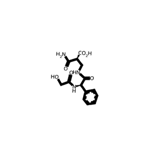 NC(=O)[C@H](CNC(=O)[C@H](NC(=O)CO)c1ccccc1)C(=O)O